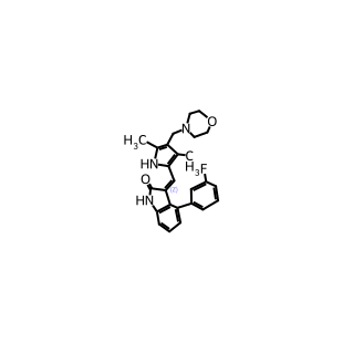 Cc1[nH]c(/C=C2\C(=O)Nc3cccc(-c4cccc(F)c4)c32)c(C)c1CN1CCOCC1